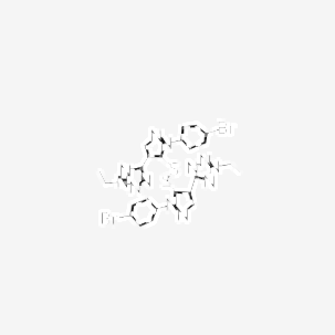 CCn1nnc(-c2cnn(-c3ccc(Br)cc3)c2SSc2c(-c3nnn(CC)n3)cnn2-c2ccc(Br)cc2)n1